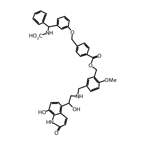 COc1ccc(CNCC(O)c2ccc(O)c3[nH]c(=O)ccc23)cc1COC(=O)c1ccc(COc2cccc(C(NC(=O)O)c3ccccc3)c2)cc1